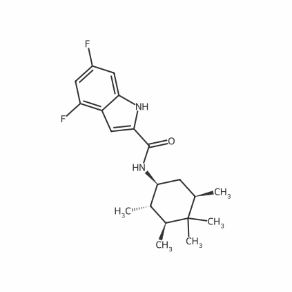 C[C@@H]1[C@@H](NC(=O)c2cc3c(F)cc(F)cc3[nH]2)C[C@@H](C)C(C)(C)[C@H]1C